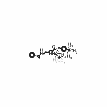 CC(C)(C)OC(=O)NC(CCCCN[C@@H]1C[C@H]1c1ccccc1)C(=O)NCc1ccc(C(C)(C)C)cc1